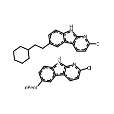 CCCCCc1ccc2[nH]c3nc(Cl)ccc3c2c1.Clc1ccc2c(n1)[nH]c1ccc(CCC3CCCCC3)cc12